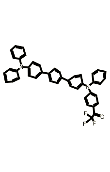 O=C(c1ccc(N(c2ccccc2)c2ccc(-c3ccc(-c4ccc(N(c5ccccc5)c5ccccc5)cc4)cc3)cc2)cc1)C(F)(F)F